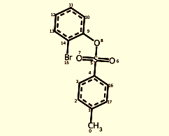 Cc1ccc(S(=O)(=O)Oc2ccccc2Br)cc1